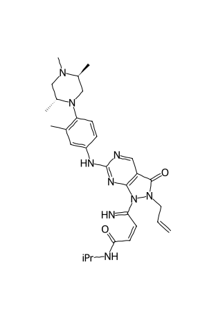 C=CCn1c(=O)c2cnc(Nc3ccc(N4C[C@H](C)N(C)C[C@H]4C)c(C)c3)nc2n1C(=N)/C=C\C(=O)NC(C)C